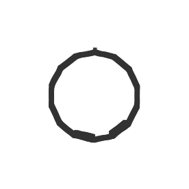 [CH]1CCCCC=CC=CCCCCC1